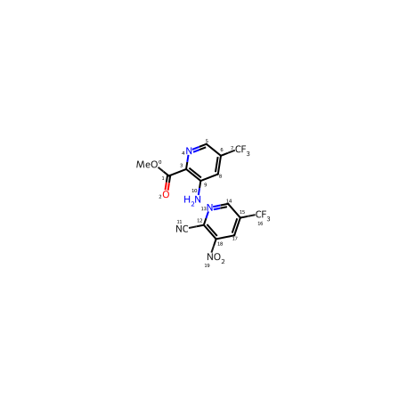 COC(=O)c1ncc(C(F)(F)F)cc1N.N#Cc1ncc(C(F)(F)F)cc1[N+](=O)[O-]